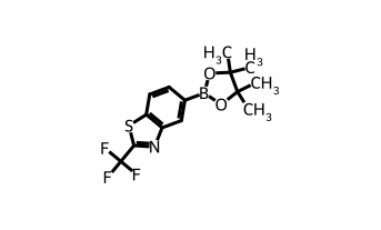 CC1(C)OB(c2ccc3sc(C(F)(F)F)nc3c2)OC1(C)C